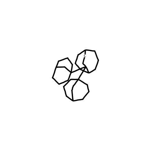 C1C[C]2CCCC(C1)CCC2(C12CCCC(CCC1)CC2)C12CCCC(CCC1)C2